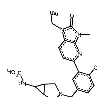 Cn1c(=O)n(CC(C)(C)C)c2ccc(-c3cc(CN4CC5C(C4)C5NC(=O)O)ccc3C#N)nc21